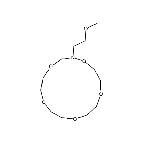 COCCN1COCCOCCOCCOCCO1